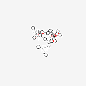 Fc1c(F)c(F)c(-c2ccc(-n3c4cc(-c5nc(-c6ccccc6)nc(-c6ccccc6)n5)ccc4c4ccc(-c5nc(-c6ccccc6)nc(-c6ccccc6)n5)cc43)c(C(F)(F)F)c2-n2c3cc(-c4nc(-c5ccccc5)nc(-c5ccccc5)n4)ccc3c3ccc(-c4nc(-c5ccccc5)nc(-c5ccccc5)n4)cc32)c(F)c1F